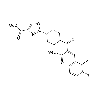 COC(=O)C(=Cc1cccc(F)c1C)C(=O)C1CCC(c2nc(C(=O)OC)co2)CC1